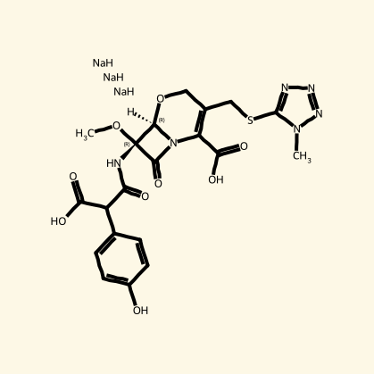 CO[C@@]1(NC(=O)C(C(=O)O)c2ccc(O)cc2)C(=O)N2C(C(=O)O)=C(CSc3nnnn3C)CO[C@@H]21.[NaH].[NaH].[NaH]